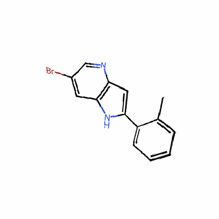 Cc1ccccc1-c1cc2ncc(Br)cc2[nH]1